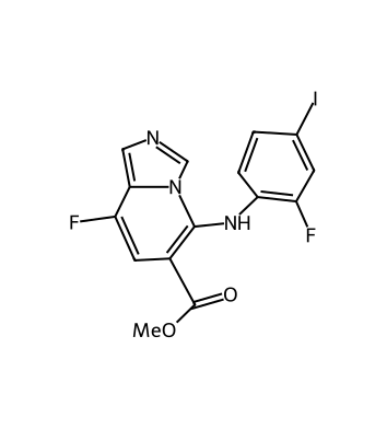 COC(=O)c1cc(F)c2cncn2c1Nc1ccc(I)cc1F